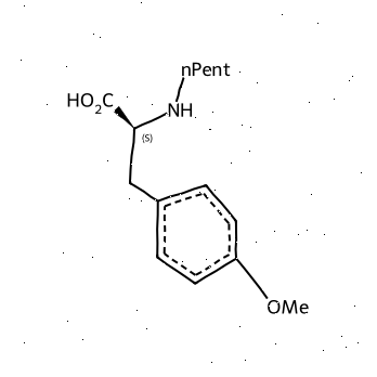 CCCCCN[C@@H](Cc1ccc(OC)cc1)C(=O)O